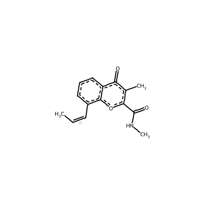 C/C=C\c1cccc2c(=O)c(C)c(C(=O)NC)oc12